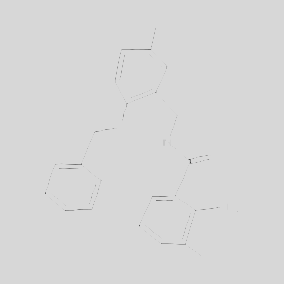 Cc1cccc(C(=O)NCc2cc(Cl)ccc2OCc2ccccc2)c1C